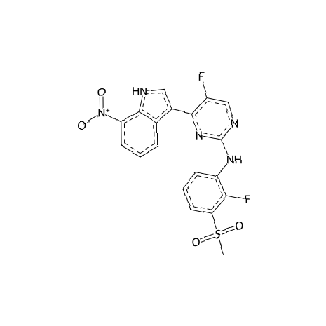 CS(=O)(=O)c1cccc(Nc2ncc(F)c(-c3c[nH]c4c([N+](=O)[O-])cccc34)n2)c1F